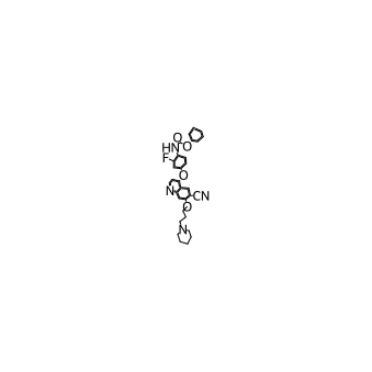 N#Cc1cc2c(Oc3ccc(NC(=O)Oc4ccccc4)c(F)c3)ccnc2cc1OCCCN1CCCCC1